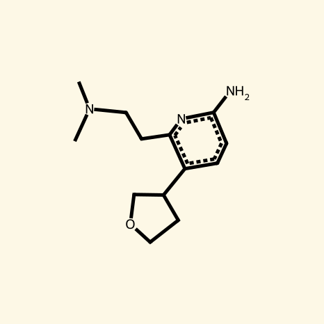 CN(C)CCc1nc(N)ccc1C1CCOC1